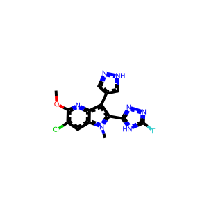 COc1nc2c(-c3cn[nH]c3)c(-c3nnc(F)[nH]3)n(C)c2cc1Cl